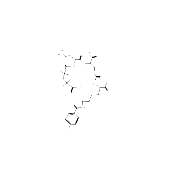 CC(C)(CC(C)(C)C(=O)NC(CCS(=O)(=O)O)C(=O)NC(CCC(=O)NC(CCCCNC(=O)c1ccc(N)cc1)C(N)=O)C(=O)O)C(=O)O